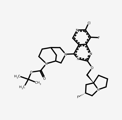 CC(C)(C)OC(=O)N1CCC2CC1CN(c1nc(OC[C@@]34CCCN3C[C@H](F)C4)nc3c(F)c(Cl)ncc13)C2